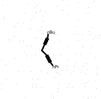 C[CH]CC#CCC#CCCCC